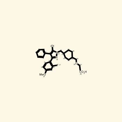 CCc1c(-c2ccccc2)c(-c2ccc(OC)cc2F)nn1CC1CCC(COCC(=O)O)CC1